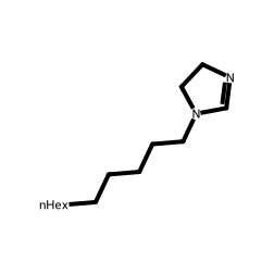 CCCCCCCCCCCN1C=NCC1